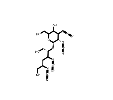 [N-]=[N+]=NC(C[C@H](CO)N=[N+]=[N-])[C@H](CO)O[C@H]1OC(CO)[C@@H](O)C(N=[N+]=[N-])[C@@H]1N=[N+]=[N-]